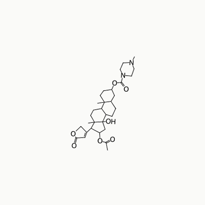 CC(=O)OC1CC2(O)C3CCC4CC(OC(=O)N5CCN(C)CC5)CCC4(C)C3CCC2(C)C1C1=CC(=O)OC1